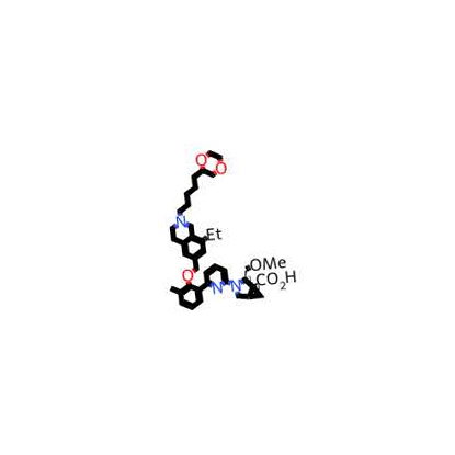 CCc1cc(COc2c(C)cccc2-c2cccc(N3CC4C[C@]4(C(=O)O)[C@H]3COC)n2)cc2c1CN(CCCCCC1COCCO1)CC2